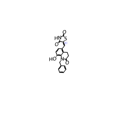 O=C1NC(=O)/C(=C\c2ccc(O)c3c2CCC(=O)N3Cc2ccccc2)S1